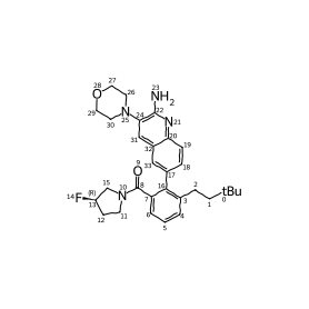 CC(C)(C)CCc1cccc(C(=O)N2CC[C@@H](F)C2)c1-c1ccc2nc(N)c(N3CCOCC3)cc2c1